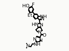 CCc1cc(O)c(F)cc1-c1ccc2c(-c3nc4c([nH]3)CCN(C(=O)c3cnc(NCCN(C)C)cn3)C4)n[nH]c2c1